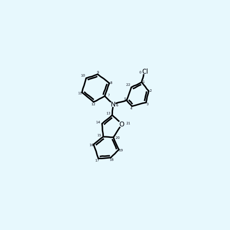 Clc1cccc(N(c2ccccc2)c2cc3ccccc3o2)c1